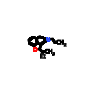 C=CCN1C2=C3c4c(cccc4OC3C(=C)CC)CC21